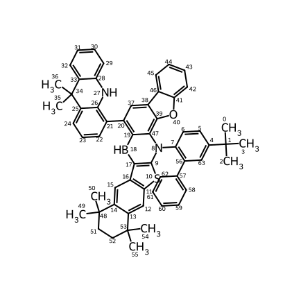 CC(C)(C)c1ccc(N2c3sc4cc5c(cc4c3Bc3c(-c4cccc6c4Nc4ccccc4C6(C)C)cc4c(oc6ccccc64)c32)C(C)(C)CCC5(C)C)c(-c2ccccc2)c1